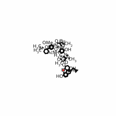 C=CCC1(C(C)CC)C(=O)NC(=O)NC1=O.CC(=O)Nc1ccc(O)cc1.COc1cccc([C@@]2(O)CCCC[C@@H]2CN(C)C)c1.Cn1c(=O)c2c(ncn2C)n(C)c1=O.O=C1CC[C@@]2(O)[C@H]3Cc4ccc(O)c5c4[C@@]2(CCN3CC2CC2)[C@H]1O5